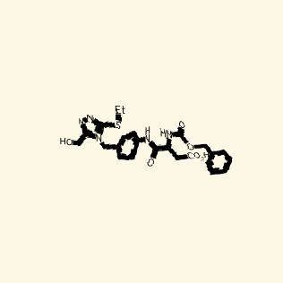 CCSc1nnc(CO)n1Cc1ccc(NC(=O)C(CC(=O)O)NC(=O)OCc2ccccc2)cc1